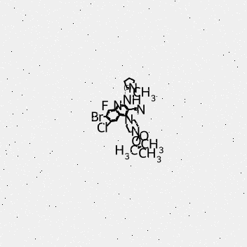 CN1CCC[C@H]1CNc1nc2c(F)c(Br)c(Cl)cc2c(N2CCN(C(=O)OC(C)(C)C)CC2)c1C#N